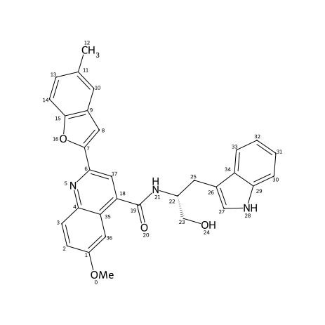 COc1ccc2nc(-c3cc4cc(C)ccc4o3)cc(C(=O)N[C@@H](CO)Cc3c[nH]c4ccccc34)c2c1